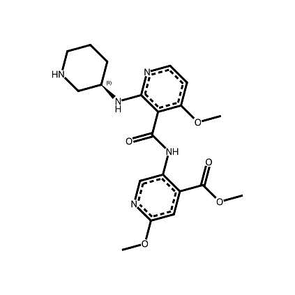 COC(=O)c1cc(OC)ncc1NC(=O)c1c(OC)ccnc1N[C@@H]1CCCNC1